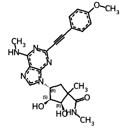 CNC(=O)C1(C)C[C@@H](n2cnc3c(NC)nc(C#Cc4ccc(OC)cc4)nc32)[C@H](O)[C@@H]1O